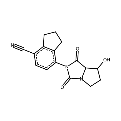 N#Cc1ccc(N2C(=O)C3C(O)CCN3C2=O)c2c1CCC2